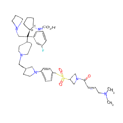 CN(C)C/C=C/C(=O)N1CC(S(=O)(=O)c2ccc(N3CCC(CN4CCC(C(CN5CCC5)(c5cccc(F)c5)[C@H]5CCC[C@@H]5NC(=O)O)CC4)C3)cc2)C1